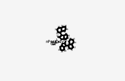 CCCCCC.C[SiH2][Ti+2]([CH]1C(C)=C(c2cccc3ccccc23)c2ccccc21)[CH]1C(C)=C(c2cccc3ccccc23)c2ccccc21.[Cl-].[Cl-]